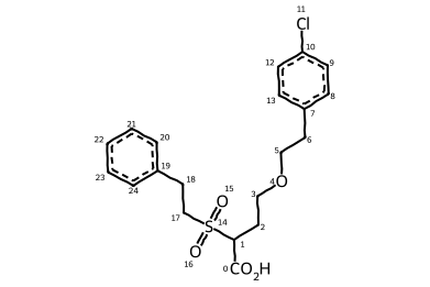 O=C(O)C(CCOCCc1ccc(Cl)cc1)S(=O)(=O)CCc1ccccc1